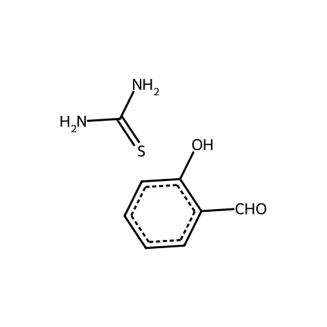 NC(N)=S.O=Cc1ccccc1O